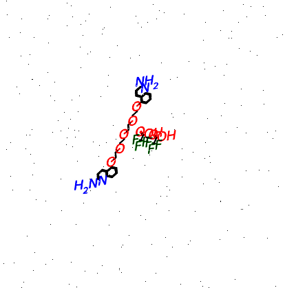 Nc1ccc2c(OCCOCCOCCOCCOc3cccc4nc(N)ccc34)cccc2n1.O=C(O)C(F)(F)F.O=C(O)C(F)(F)F